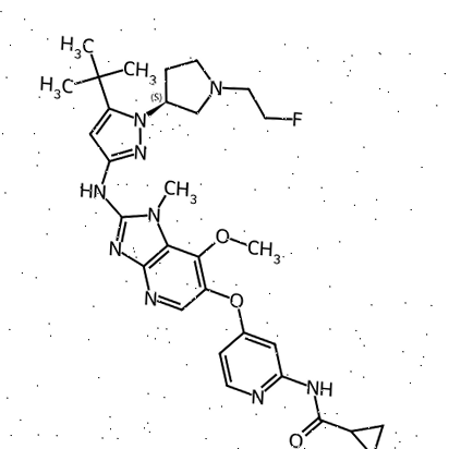 COc1c(Oc2ccnc(NC(=O)C3CC3)c2)cnc2nc(Nc3cc(C(C)(C)C)n([C@H]4CCN(CCF)C4)n3)n(C)c12